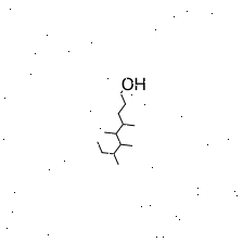 CCC(C)C(C)C(C)C(C)CCCO